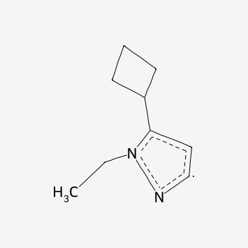 CCn1n[c]cc1C1CCC1